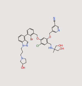 CC(CO)(CO)NCc1cc(Cl)c(OCc2cccc(-c3cccc4c3cnn4CCCN3CC[C@@H](O)C3)c2Br)cc1OCc1cncc(C#N)c1